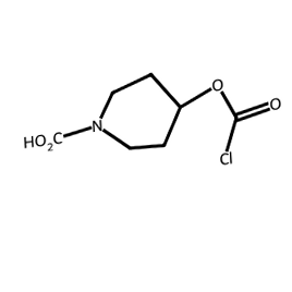 O=C(Cl)OC1CCN(C(=O)O)CC1